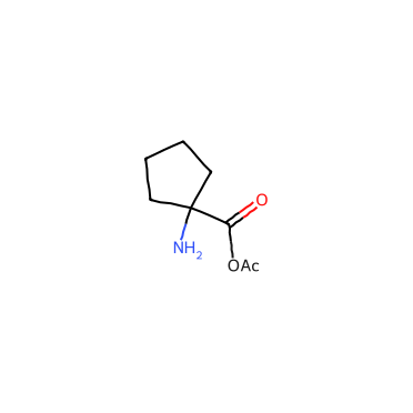 CC(=O)OC(=O)C1(N)CCCC1